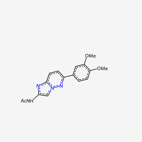 COc1ccc(-c2ccc3nc(NC(C)=O)cn3n2)cc1OC